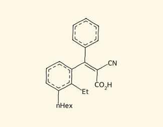 CCCCCCc1cccc(C(=C(C#N)C(=O)O)c2ccccc2)c1CC